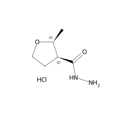 C[C@@H]1OCC[C@@H]1C(=O)NN.Cl